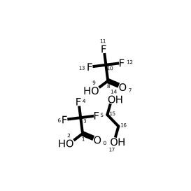 O=C(O)C(F)(F)F.O=C(O)C(F)(F)F.OCCO